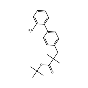 CC(C)(C)OC(=O)C(C)(C)Cc1ccc(-c2ccccc2N)cc1